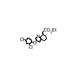 CCOC(=O)/C=C1\CCCc2cc(Oc3ccc(Cl)cc3Cl)cnc21